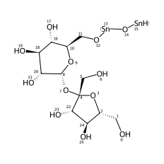 OC[C@H]1O[C@@](CO)(O[C@H]2O[C@H](C[O][Sn][O][SnH])[C@@H](O)[C@H](O)[C@H]2O)[C@@H](O)[C@@H]1O